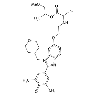 COCC(C)OC(=O)C(NCCOc1ccc2nc(-c3cc(C)c(=O)n(C)c3)n(CC3CCOCC3)c2c1)C(C)C